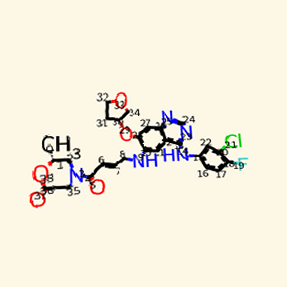 C[C@@H]1CN(C(=O)C=CCNc2cc3c(Nc4ccc(F)c(Cl)c4)ncnc3cc2O[C@H]2CCOC2)CC(=O)O1